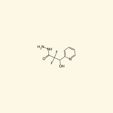 NNC(=O)C(F)(F)C(O)c1ccccn1